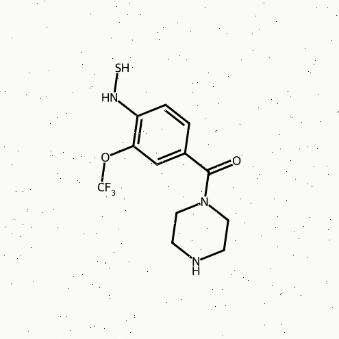 O=C(c1ccc(NS)c(OC(F)(F)F)c1)N1CCNCC1